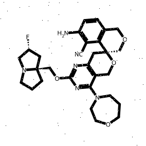 N#Cc1c(N)ccc2c1[C@]1(COC2)Cc2nc(OC[C@@]34CCCN3C[C@H](F)C4)nc(N3CCCOCC3)c2CO1